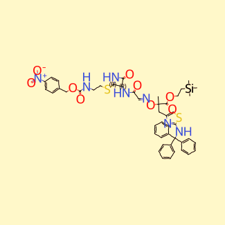 CC(Cc1csc(NC(c2ccccc2)(c2ccccc2)c2ccccc2)n1)(ON=CC(=O)N[C@@H]1C(=O)N[C@@H]1SCCNC(=O)OCc1ccc([N+](=O)[O-])cc1)C(=O)OCC[Si](C)(C)C